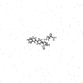 O=CC1NN=C(CC2CN(C(=O)C3CC3)C2)N1c1ccc(-c2ccc3ncccc3c2)cc1